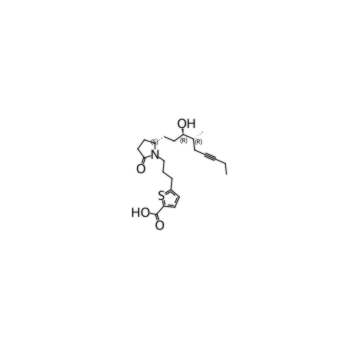 CCC#CC[C@@H](C)[C@H](O)CC[C@H]1CCC(=O)N1CCCc1ccc(C(=O)O)s1